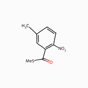 CSC(=O)c1cc(C)ccc1[N+](=O)[O-]